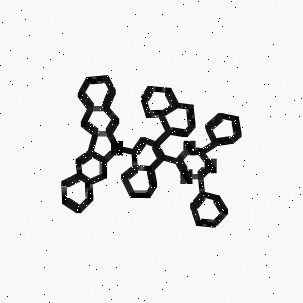 c1ccc(-c2nc(-c3ccccc3)nc(-c3c(-c4cccc5ccccc45)cc(-n4c5cc6ccccc6cc5c5cc6ccccc6cc54)c4ccccc34)n2)cc1